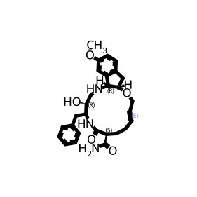 COc1ccc2c(c1)[C@H]1NC[C@@H](O)C(Cc3ccccc3)NC(=O)[C@H](C(N)=O)CC/C=C/CO[C@H]1C2